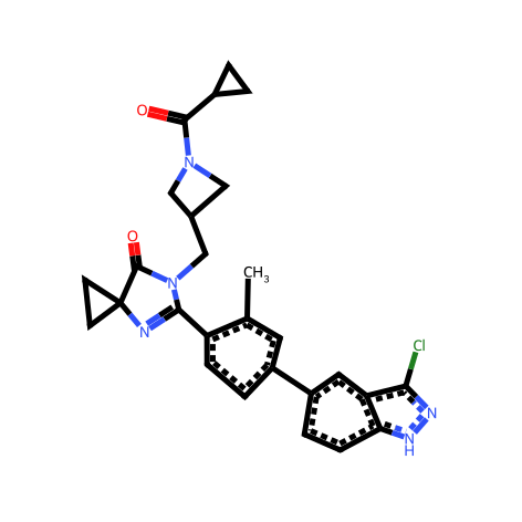 Cc1cc(-c2ccc3[nH]nc(Cl)c3c2)ccc1C1=NC2(CC2)C(=O)N1CC1CN(C(=O)C2CC2)C1